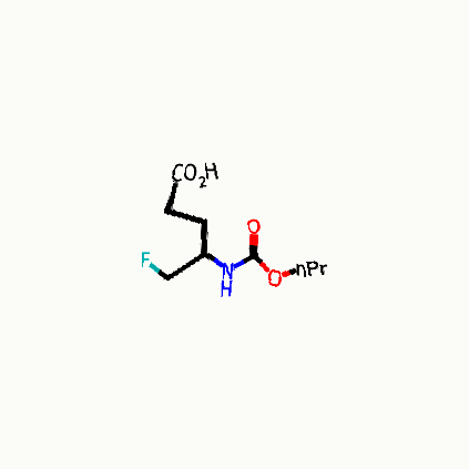 CCCOC(=O)NC(CF)CCC(=O)O